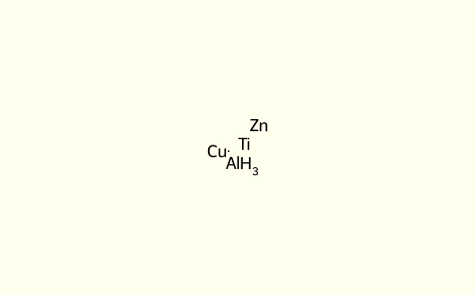 [AlH3].[Cu].[Ti].[Zn]